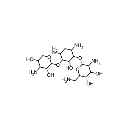 NCC1O[C@H](OC2C(N)CC(N)C(OC3OCC(O)C(N)[C@H]3O)[C@H]2O)C(N)C(O)[C@@H]1O